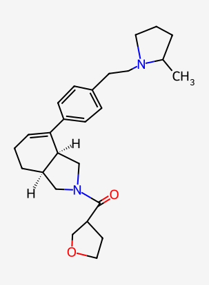 CC1CCCN1CCc1ccc(C2=CCC[C@@H]3CN(C(=O)C4CCOC4)C[C@H]23)cc1